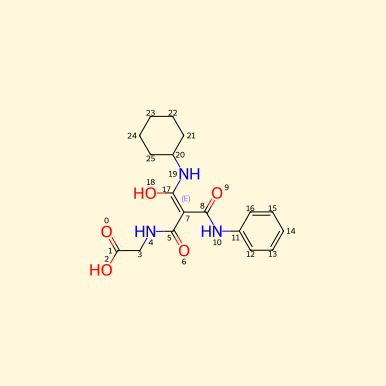 O=C(O)CNC(=O)/C(C(=O)Nc1ccccc1)=C(\O)NC1CCCCC1